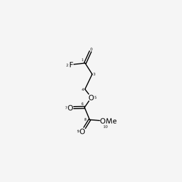 C=C(F)CCOC(=O)C(=O)OC